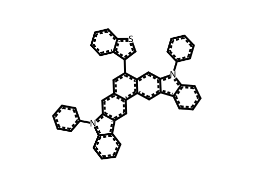 c1ccc(-n2c3ccccc3c3cc4c(cc(-c5csc6ccccc56)c5cc6c(cc54)c4ccccc4n6-c4ccccc4)cc32)cc1